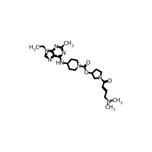 CCn1cnc2c(NC3CCN(C(=O)OC4CCN(C(=O)/C=C/CN(C)C)C4)CC3)nc(C)nc21